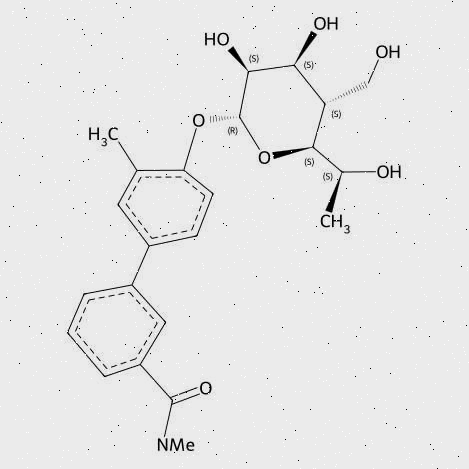 CNC(=O)c1cccc(-c2ccc(O[C@H]3O[C@H]([C@H](C)O)[C@@H](CO)[C@H](O)[C@@H]3O)c(C)c2)c1